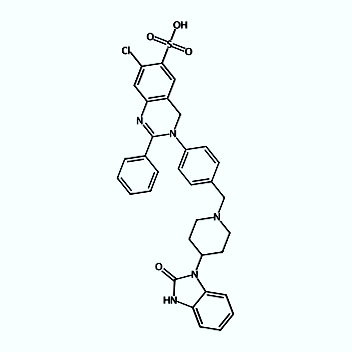 O=c1[nH]c2ccccc2n1C1CCN(Cc2ccc(N3Cc4cc(S(=O)(=O)O)c(Cl)cc4N=C3c3ccccc3)cc2)CC1